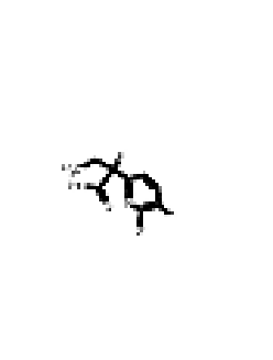 CCC(F)(C(=O)O)c1ccc(F)c(Br)n1